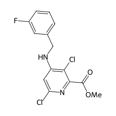 COC(=O)c1nc(Cl)cc(NCc2cccc(F)c2)c1Cl